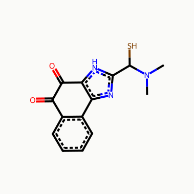 CN(C)C(S)c1nc2c([nH]1)C(=O)C(=O)c1ccccc1-2